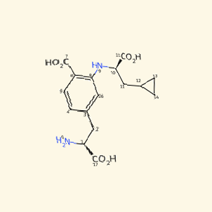 N[C@@H](Cc1ccc(C(=O)O)c(N[C@H](CC2CC2)C(=O)O)c1)C(=O)O